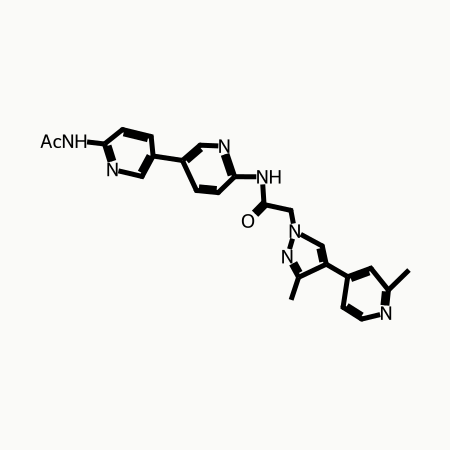 CC(=O)Nc1ccc(-c2ccc(NC(=O)Cn3cc(-c4ccnc(C)c4)c(C)n3)nc2)cn1